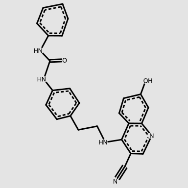 N#Cc1cnc2cc(O)ccc2c1NCCc1ccc(NC(=O)Nc2ccccc2)cc1